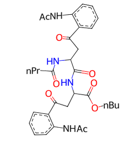 CCCCOC(=O)C(CC(=O)c1ccccc1NC(C)=O)NC(=O)C(CC(=O)c1ccccc1NC(C)=O)NC(=O)CCC